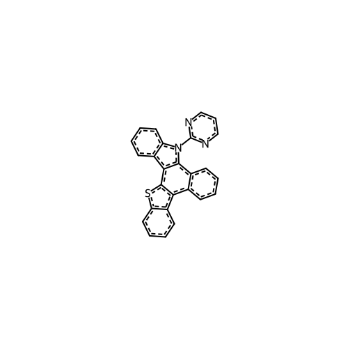 c1cnc(-n2c3ccccc3c3c4sc5ccccc5c4c4ccccc4c32)nc1